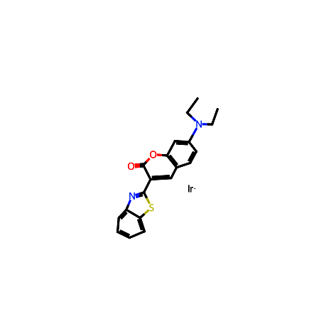 CCN(CC)c1ccc2cc(-c3nc4ccccc4s3)c(=O)oc2c1.[Ir]